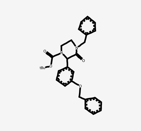 CC(C)(C)OC(=O)N1CCN(Cc2ccccc2)C(=O)C1c1cccc(OCc2ccccc2)c1